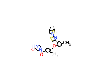 Cc1ccc(OCc2ccc(C(=O)N3CCNC(=O)C3)cc2C)c(-c2csc(N3CC4CCC(C3)C4S)n2)c1